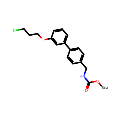 CC(C)(C)OC(=O)NCc1ccc(-c2cccc(OCCCCl)c2)cc1